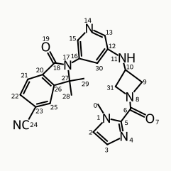 Cn1ccnc1C(=O)N1CC(Nc2cncc(N3C(=O)c4ccc(C#N)cc4C3(C)C)c2)C1